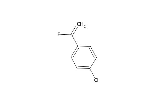 C=C(F)c1ccc(Cl)cc1